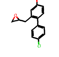 Oc1ccc(-c2ccc(Cl)cc2)c(CC2CO2)c1